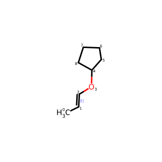 C/C=C/OC1CCCC1